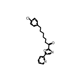 O=C(CCCCCCc1ccc(Cl)cc1)c1ncc(-c2ccccn2)o1